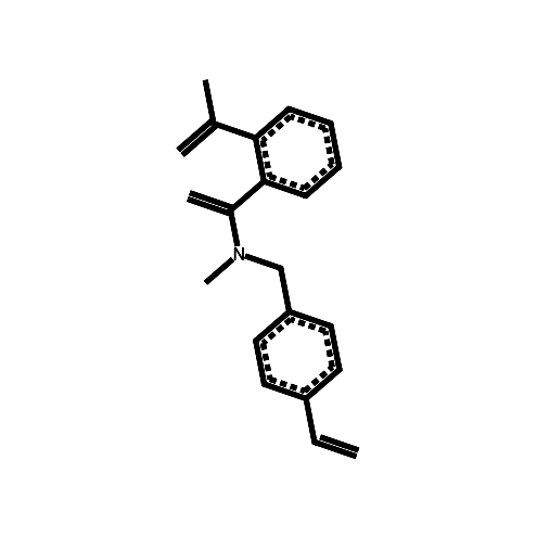 C=Cc1ccc(CN(C)C(=C)c2ccccc2C(=C)C)cc1